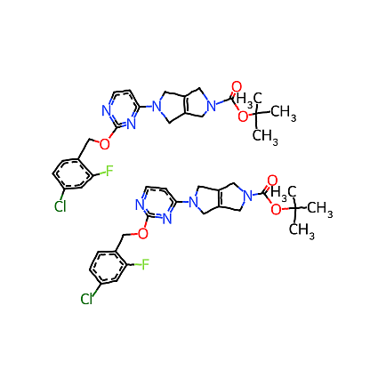 CC(C)(C)OC(=O)N1CC2=C(C1)CN(c1ccnc(OCc3ccc(Cl)cc3F)n1)C2.CC(C)(C)OC(=O)N1CC2=C(C1)CN(c1ccnc(OCc3ccc(Cl)cc3F)n1)C2